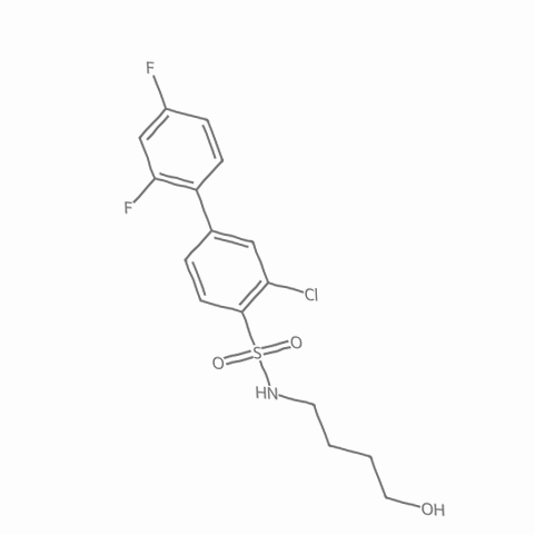 O=S(=O)(NCCCCO)c1ccc(-c2ccc(F)cc2F)cc1Cl